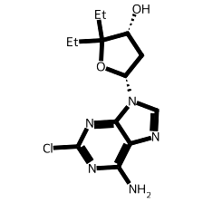 CCC1(CC)O[C@@H](n2cnc3c(N)nc(Cl)nc32)C[C@H]1O